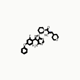 N#C/C(=C\C1CCOCC1)C(=O)N1CCC[C@@H](n2nc(-c3ccc(Oc4ccccc4)cc3F)c3c(N)ncnc32)C1